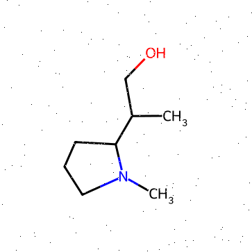 CC(CO)C1CCCN1C